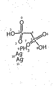 O=S(=O)(O)CS(=O)(=O)O.P.[Ag].[Ag]